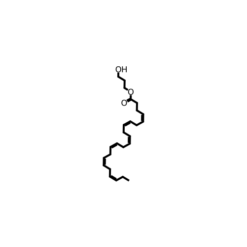 CC/C=C\C/C=C\C/C=C\C/C=C\C/C=C\C/C=C\CCC(=O)OCCCO